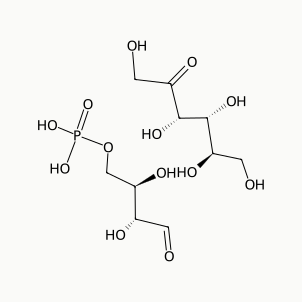 O=C(CO)[C@@H](O)[C@H](O)[C@H](O)CO.O=C[C@H](O)[C@H](O)COP(=O)(O)O